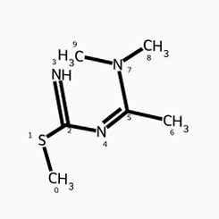 CSC(=N)N=C(C)N(C)C